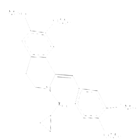 COc1ccc(/C=C2/c3cc(OC)c(OC)cc3CCN2C(=O)C2CC2)cc1OC